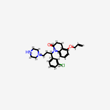 C=CCOc1cccc2c1CCC(=O)N2C(CCN1CCNCC1)c1cccc(Cl)c1